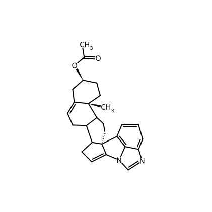 CC(=O)O[C@H]1CC[C@@]2(C)C(=CCC3C2CC[C@]24C(=CCC32)n2cnc3cccc4c32)C1